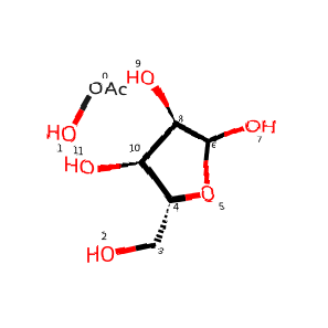 CC(=O)OO.OC[C@H]1OC(O)[C@H](O)[C@@H]1O